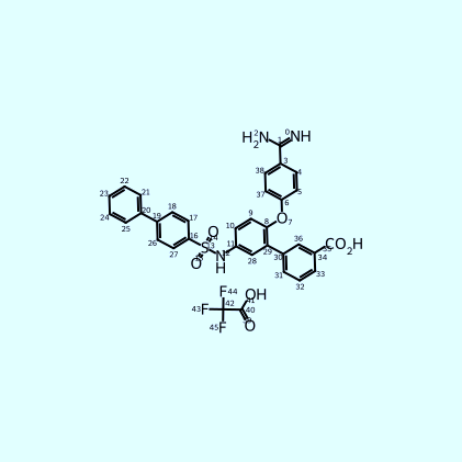 N=C(N)c1ccc(Oc2ccc(NS(=O)(=O)c3ccc(-c4ccccc4)cc3)cc2-c2cccc(C(=O)O)c2)cc1.O=C(O)C(F)(F)F